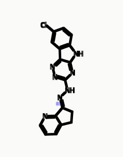 Clc1ccc2[nH]c3nc(N/N=C4\CCc5cccnc54)nnc3c2c1